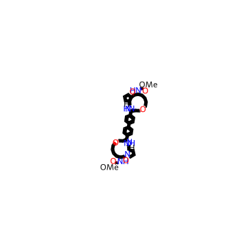 COC(=O)N[C@H]1CCCCOCc2[nH]c(nc2-c2ccc(-c3ccc(-c4nc5[nH]c4COCCCC[C@H](NC(=O)OC)C(=O)N4CCC[C@@H]54)cc3)cc2)[C@@H]2CCCC2C1=O